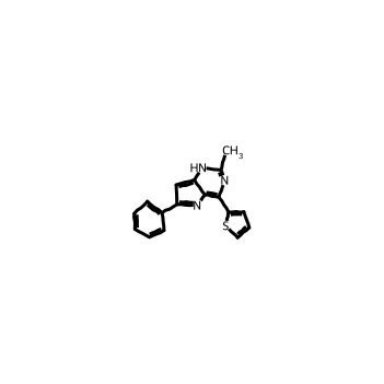 Cc1nc(-c2cccs2)c2nc(-c3ccccc3)cc-2[nH]1